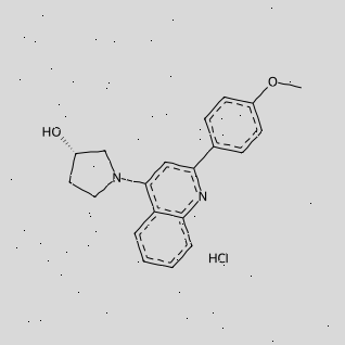 COc1ccc(-c2cc(N3CC[C@H](O)C3)c3ccccc3n2)cc1.Cl